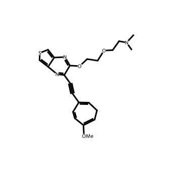 COC1=CCC=C(C#Cc2nc3cscc3nc2OCCOCCN(C)C)C=C1